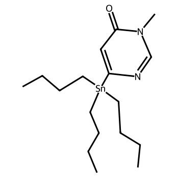 CCC[CH2][Sn]([CH2]CCC)([CH2]CCC)[c]1cc(=O)n(C)cn1